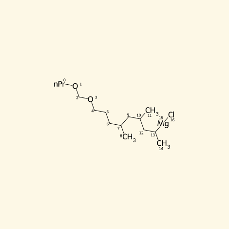 CCCOCOCCCC(C)CC(C)C[CH](C)[Mg][Cl]